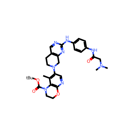 Cc1c(N2CCc3cnc(Nc4ccc(NC(=O)CN(C)C)cc4)nc3C2)cnc2c1N(C(=O)OC(C)(C)C)CCO2